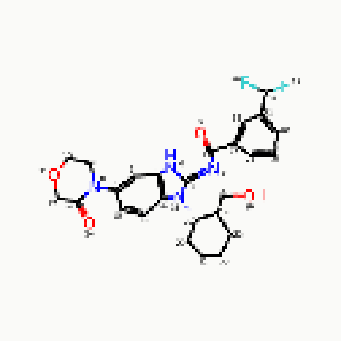 O=C(/N=c1\[nH]c2cc(N3CCOCC3=O)ccc2n1[C@H]1CCCC[C@@H]1CO)c1cccc(C(F)F)c1